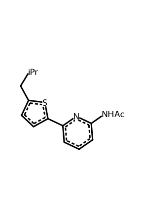 CC(=O)Nc1cccc(-c2ccc(CC(C)C)s2)n1